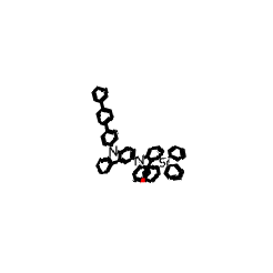 c1ccc(-c2ccc(-c3ccc(-n4c5ccccc5c5cc(-n6c7ccccc7c7c([Si](c8ccccc8)(c8ccccc8)c8ccccc8)cccc76)ccc54)cc3)cc2)cc1